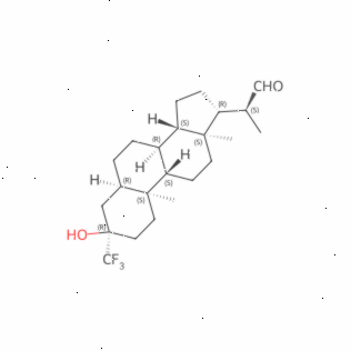 C[C@H](C=O)[C@H]1CC[C@H]2[C@@H]3CC[C@@H]4C[C@@](O)(C(F)(F)F)CC[C@]4(C)[C@H]3CC[C@]12C